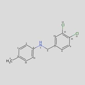 Cc1ccc(NCc2ccc(Cl)c(Cl)c2)cc1